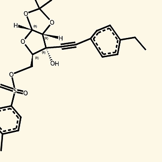 CCc1ccc(C#C[C@@]2(O)[C@@H](COS(=O)(=O)c3ccc(C)cc3)O[C@@H]3OC(C)(C)O[C@@H]32)cc1